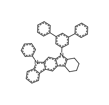 c1ccc(-c2cc(-c3ccccc3)cc(-n3c4c(c5cc6c7ccccc7n(-c7ccccc7)c6cc53)CCCC4)c2)cc1